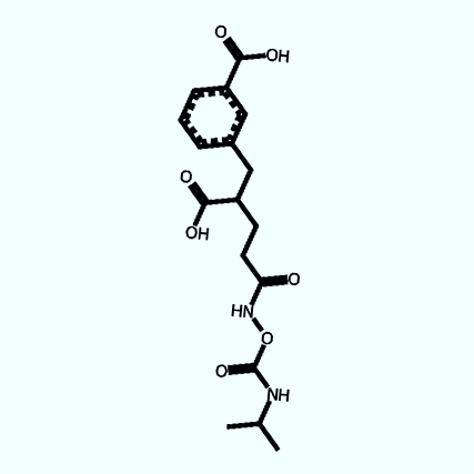 CC(C)NC(=O)ONC(=O)CCC(Cc1cccc(C(=O)O)c1)C(=O)O